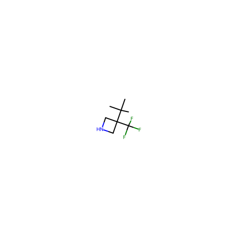 CC(C)(C)C1(C(F)(F)F)CNC1